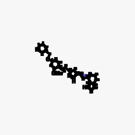 COc1cc(OCc2cccnc2)ccc1/C=C/c1cc(/C=C/c2cccc3cc[nH]c23)[nH]n1